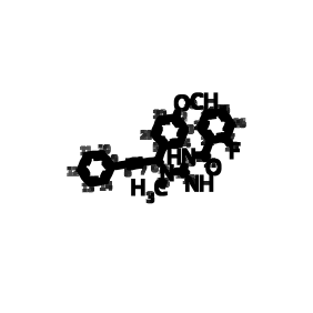 COc1ccc(C(C#Cc2ccccc2)N(C)C(=N)NC(=O)c2ccccc2F)cc1